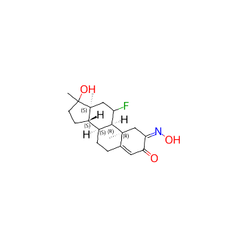 CC1(O)CC[C@H]2[C@@H]3CCC4=CC(=O)C(=NO)C[C@]4(C)[C@@H]3C(F)C[C@@]21C